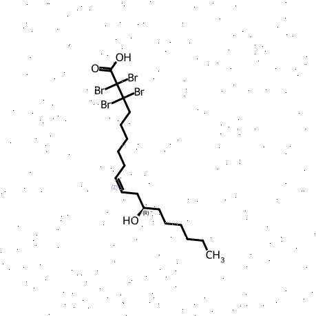 CCCCCC[C@@H](O)C/C=C\CCCCCC(Br)(Br)C(Br)(Br)C(=O)O